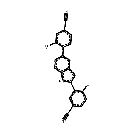 Cc1cc(C#N)ccc1-c1ccc2[nH]c(-c3cc(C#N)ccc3Cl)cc2c1